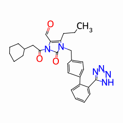 CCCc1c(C=O)n(C(=O)CC2CCCCC2)c(=O)n1Cc1ccc(-c2ccccc2-c2nnn[nH]2)cc1